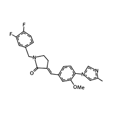 COc1cc(/C=C2\CCN(Cc3ccc(F)c(F)c3)C2=O)ccc1-n1cnc(C)c1